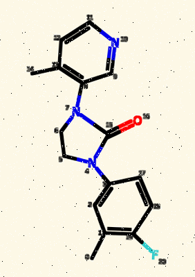 Cc1cc(N2CCN(c3cnccc3C)C2=O)ccc1F